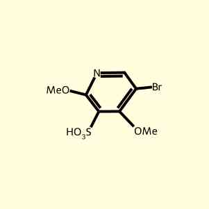 COc1ncc(Br)c(OC)c1S(=O)(=O)O